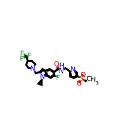 CCS(=O)(=O)c1ccc(CNC(=O)c2cc3cc(CN4CCC(C(F)(F)F)CC4)n(C4CC4)c3cc2F)nc1